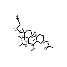 CC[C@@H]1C2C[C@H](OC(C)=O)CC[C@@]2(C)[C@H]2CCC3(C)[C@@H]([C@H](C)CC#N)CC[C@H]3C2[C@@H]1OC(C)=O